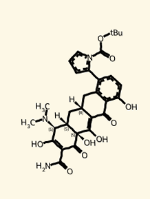 CN(C)[C@@H]1C(O)=C(C(N)=O)C(=O)[C@@]2(O)C(O)=C3C(=O)c4c(O)ccc(-c5cccn5C(=O)OC(C)(C)C)c4C[C@H]3C[C@@H]12